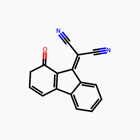 N#CC(C#N)=C1C2=C(C=CCC2=O)c2ccccc21